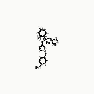 C[C@@H](c1ccn(Cc2ccc(C(C)(C)C)cc2)n1)[C@](O)(Cn1cnnn1)c1ccc(F)cc1F